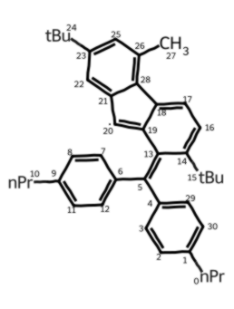 CCCc1ccc(C(c2ccc(CCC)cc2)=c2c(C(C)(C)C)ccc3c2=[C]c2cc(C(C)(C)C)cc(C)c2-3)cc1